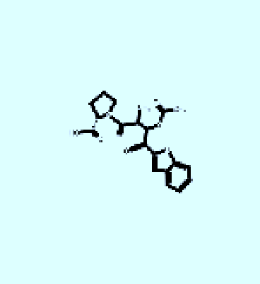 CC(=O)SC(C(=O)c1cc2ccccc2o1)C(C)C(=O)N1CCC[C@H]1C(=O)O